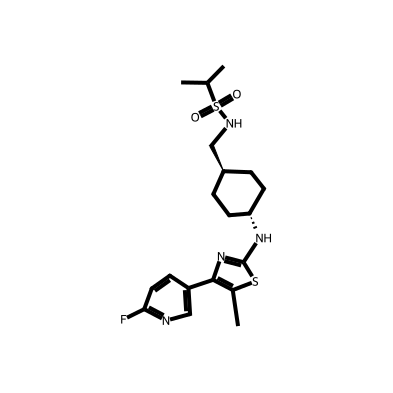 Cc1sc(N[C@H]2CC[C@H](CNS(=O)(=O)C(C)C)CC2)nc1-c1ccc(F)nc1